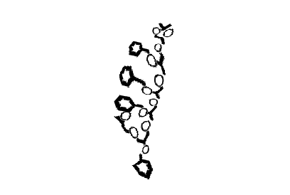 CC1(C)OCC(COCC(COCC(COCC(COCC(COCC2CO2)OCc2ccccc2)OCc2ccccc2)OCc2ccccc2)OCc2ccccc2)O1